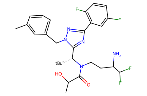 Cc1cccc(Cn2nc(-c3cc(F)ccc3F)nc2[C@H](N(CCC(N)C(F)F)C(=O)C(C)O)C(C)(C)C)c1